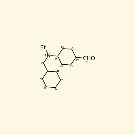 CCN(CC1CCCCC1)C1CCC(C=O)CC1